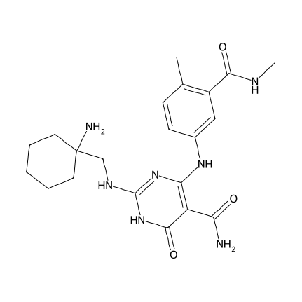 CNC(=O)c1cc(Nc2nc(NCC3(N)CCCCC3)[nH]c(=O)c2C(N)=O)ccc1C